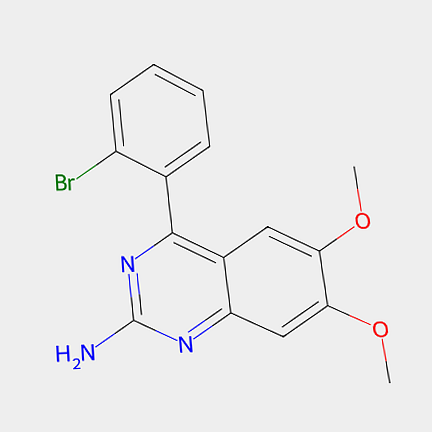 COc1cc2nc(N)nc(-c3ccccc3Br)c2cc1OC